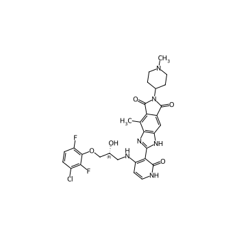 Cc1c2c(cc3[nH]c(-c4c(NC[C@@H](O)COc5c(F)ccc(Cl)c5F)cc[nH]c4=O)nc13)C(=O)N(C1CCN(C)CC1)C2=O